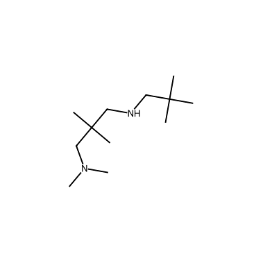 CN(C)CC(C)(C)CNCC(C)(C)C